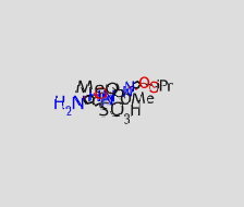 COc1cc(N/N=C2\C(=O)c3ccc(N)cc3C=C2S(=O)(=O)O)c(OC)cc1/N=N/c1ccc(OCCOC(C)C)cc1